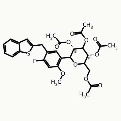 COc1cc(F)c(Cc2cc3ccccc3s2)cc1C1OC(COC(C)=O)[C@@H](OC(C)=O)C(OC(C)=O)[C@H]1OC(C)=O